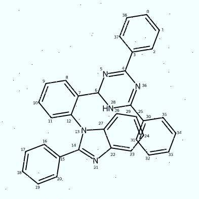 c1ccc(C2=NC(c3ccccc3-n3c(-c4ccccc4)nc4ccccc43)NC(c3ccccc3)=N2)cc1